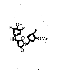 COc1cc(CN2C(=O)C=C(Nc3cc(F)c(O)c(F)c3)C2=O)ccc1F